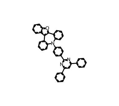 c1ccc(-c2cc(-c3ccccc3)nc(-c3ccc(N4c5ccccc5-c5oc6ccccc6c5-c5ccccc54)cc3)n2)cc1